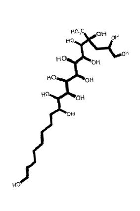 O=C(O)C(O)(CC(O)CO)C(O)C(O)C(O)C(O)C(O)C(O)C(O)C(O)CCCCCCCCO